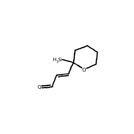 O=[C]C=CC1([SiH3])CCCCO1